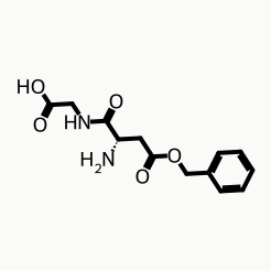 N[C@@H](CC(=O)OCc1ccccc1)C(=O)NCC(=O)O